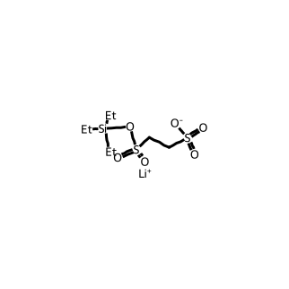 CC[Si](CC)(CC)OS(=O)(=O)CCS(=O)(=O)[O-].[Li+]